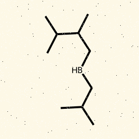 CC(C)CBCC(C)C(C)C